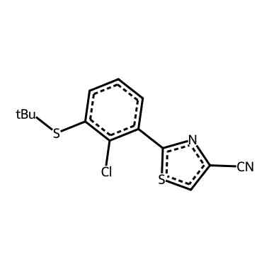 CC(C)(C)Sc1cccc(-c2nc(C#N)cs2)c1Cl